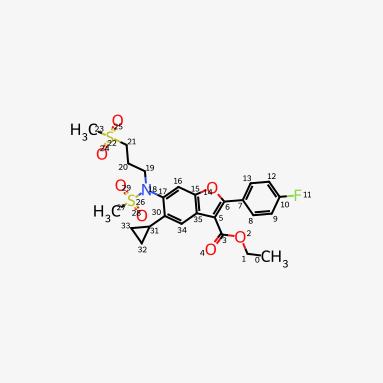 CCOC(=O)c1c(-c2ccc(F)cc2)oc2cc(N(CCCS(C)(=O)=O)S(C)(=O)=O)c(C3CC3)cc12